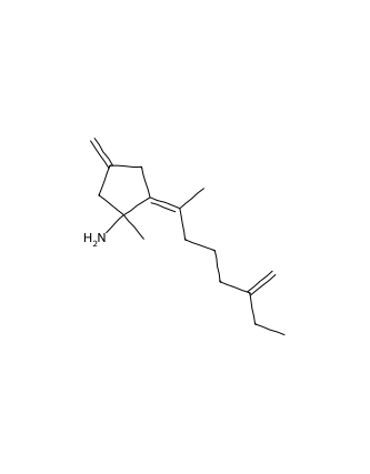 C=C(CC)CCC/C(C)=C1/CC(=C)CC1(C)N